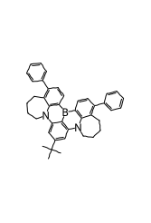 CC(C)(C)c1cc2c3c(c1)N1CCCCc4c(-c5ccccc5)ccc(c41)B3c1ccc(-c3ccccc3)c3c1N2CCCC3